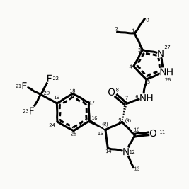 CC(C)c1cc(NC(=O)[C@@H]2C(=O)N(C)C[C@H]2c2ccc(C(F)(F)F)cc2)[nH]n1